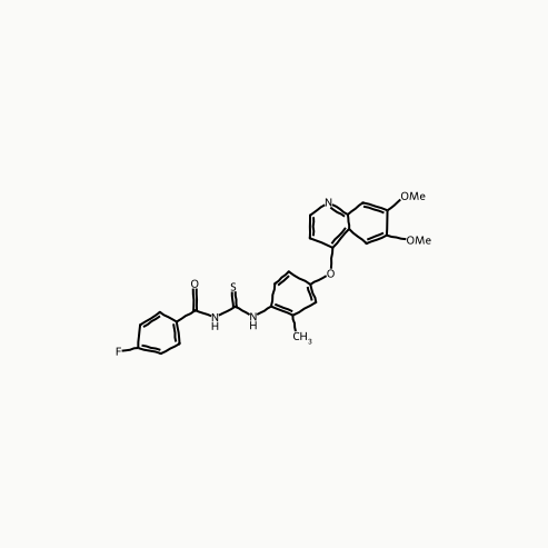 COc1cc2nccc(Oc3ccc(NC(=S)NC(=O)c4ccc(F)cc4)c(C)c3)c2cc1OC